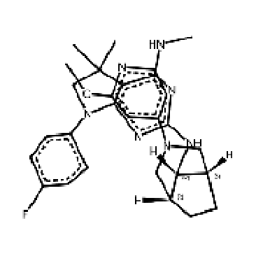 CNc1nc(N[C@H]2[C@@H]3CC[C@H]2CN(c2ccnc(OC)c2)C3)nc2c1C(C)(C)CN2c1ccc(F)cc1